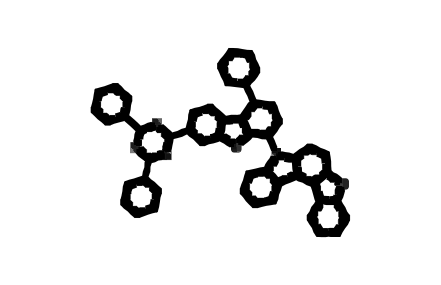 c1ccc(-c2nc(-c3ccccc3)nc(-c3ccc4c(c3)oc3c(-n5c6ccccc6c6c7c(ccc65)oc5ccccc57)ccc(-c5ccccc5)c34)n2)cc1